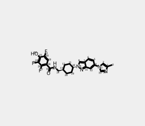 Cc1cn(-c2ccc3cn([C@H]4CC[C@H](CNC(=O)c5cc(F)c(O)c(F)c5F)CC4)nc3c2)cn1